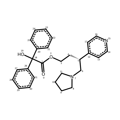 O=C(OCC[C@@H](CN1CCCC1)c1ccncc1)C(O)(c1ccccc1)c1ccccc1